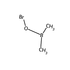 CB(C)OBr